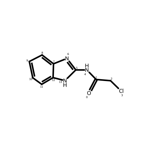 O=C(CCl)Nc1nc2ccccc2[nH]1